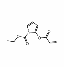 C=CC(=O)Oc1cccn1C(=O)OCC